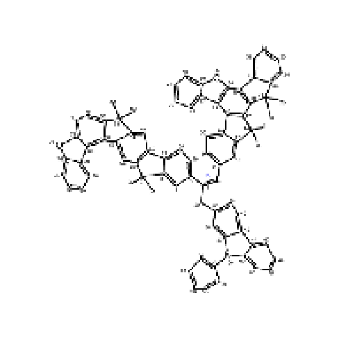 CC1(C)c2cc(/C(=C\c3ccc4c(c3)C(C)(C)c3c5c(c6oc7ccccc7c6c3-4)-c3ccccc3C5(C)C)Cc3ccc4c5ccccc5n(-c5ccccc5)c4c3)ccc2-c2cc3c(cc21)-c1c(ccc2oc4ccccc4c12)C3(C)C